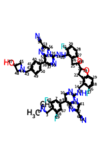 CN(C)Cc1c(F)cc(-c2cnc(NCc3c(F)ccc4c3CC(C3Cc5c(ccc(F)c5CNc5ncc(-c6ccc(CN7CC(O)C7)cc6)c6nc(C#N)cn56)O3)O4)n3cc(C#N)nc23)cc1F